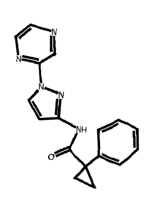 O=C(Nc1ccn(-c2cnccn2)n1)C1(c2ccccc2)CC1